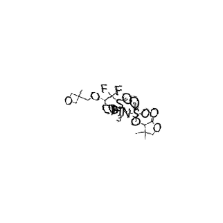 CC1(COC(C(F)(F)F)C(F)(F)S(=O)(=O)NS(=O)(=O)OC2C(=O)OCC2(C)C)COC1